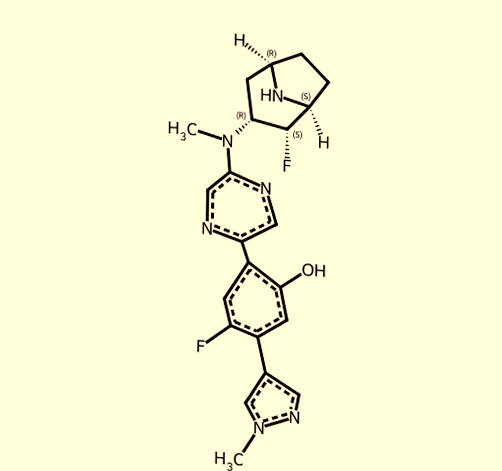 CN(c1cnc(-c2cc(F)c(-c3cnn(C)c3)cc2O)cn1)[C@@H]1C[C@H]2CC[C@H](N2)[C@@H]1F